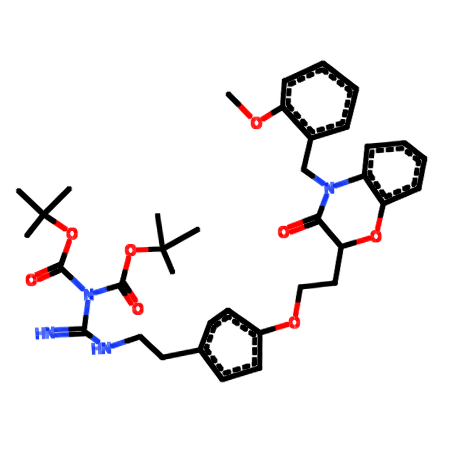 COc1ccccc1CN1C(=O)C(CCOc2ccc(CCNC(=N)N(C(=O)OC(C)(C)C)C(=O)OC(C)(C)C)cc2)Oc2ccccc21